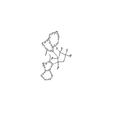 Cc1sc2ccccc2c1C1(F)CC(F)(F)C(F)(F)C1(F)c1c(C)sc2ccccc12